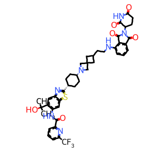 CC(C)(O)c1cc2nc([C@H]3CC[C@@H](N4CC5(CC(CCNc6cccc7c6C(=O)N(C6CCC(=O)NC6=O)C7=O)C5)C4)CC3)sc2cc1NC(=O)c1cccc(C(F)(F)F)n1